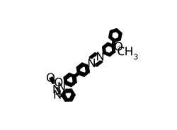 CO[C@]1(C2CCCCC2)CC[C@H](N2CCN(c3ccc(-c4ccc([N+]5(OC=O)N=Nc6ccccc65)cc4)cc3)CC2)CC1